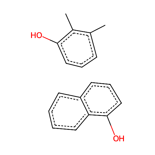 Cc1cccc(O)c1C.Oc1cccc2ccccc12